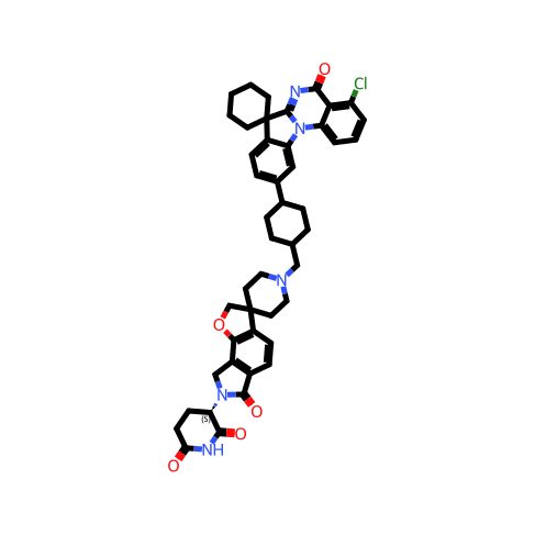 O=C1CC[C@H](N2Cc3c(ccc4c3OCC43CCN(CC4CCC(c5ccc6c(c5)-n5c(nc(=O)c7c(Cl)cccc75)C65CCCCC5)CC4)CC3)C2=O)C(=O)N1